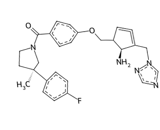 C[C@]1(c2ccc(F)cc2)CCN(C(=O)c2ccc(OCC3C=C=C(Cn4cncn4)[C@H]3N)cc2)C1